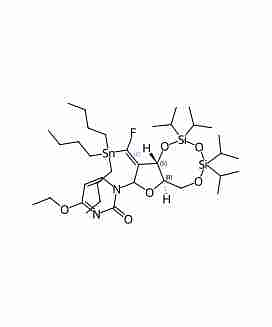 CCC[CH2][Sn]([CH2]CCC)([CH2]CCC)/[C](F)=C1\C(n2ccc(OCC)nc2=O)O[C@@H]2CO[Si](C(C)C)(C(C)C)O[Si](C(C)C)(C(C)C)O[C@@H]12